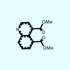 COC(=O)c1cccc2nccc(C(=O)OC)c12